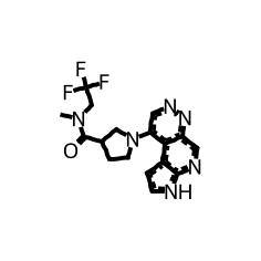 CN(CC(F)(F)F)C(=O)C1CCN(c2cnnc3cnc4[nH]ccc4c23)C1